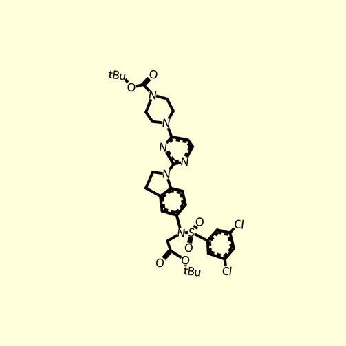 CC(C)(C)OC(=O)CN(c1ccc2c(c1)CCN2c1nccc(N2CCN(C(=O)OC(C)(C)C)CC2)n1)S(=O)(=O)c1cc(Cl)cc(Cl)c1